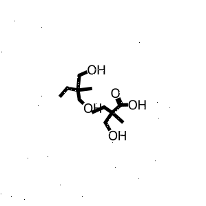 CCC(C)(CO)C(=O)O.CCC(C)(CO)CO